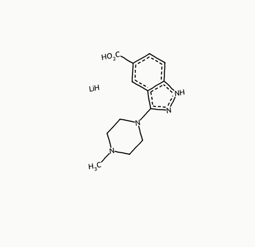 CN1CCN(c2n[nH]c3ccc(C(=O)O)cc23)CC1.[LiH]